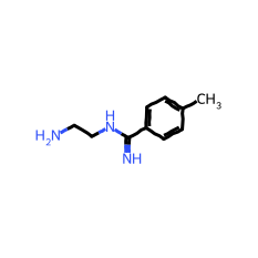 Cc1ccc(C(=N)NCCN)cc1